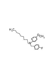 CCCCCCCCCN(Cc1ccc(F)cc1)c1ccc(OC)cc1